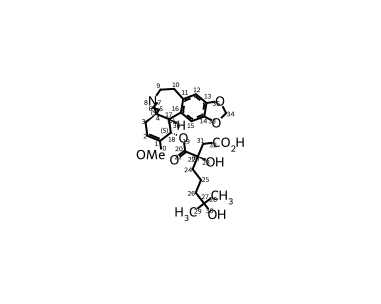 COC1=CC[C@]23CCCN2CCc2cc4c(cc2[C@@H]3[C@@H]1OC(=O)[C@@](O)(CCCC(C)(C)O)CC(=O)O)OCO4